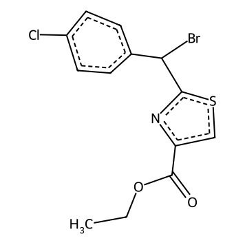 CCOC(=O)c1csc(C(Br)c2ccc(Cl)cc2)n1